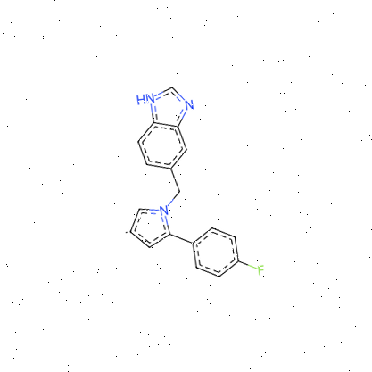 Fc1ccc(-c2c[c]cn2Cc2ccc3[nH]cnc3c2)cc1